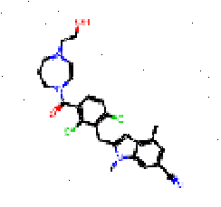 Cc1cc(C#N)cc2c1cc(Cc1c(Cl)ccc(C(=O)N3CCCN(CCO)CC3)c1Cl)n2C